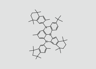 Cc1cc2c3c(c1)N(c1cc4c(cc1C)C(C)(C)CC4(C)C)c1cc4c(cc1B3c1ccc(C(C)(C)C)cc1N2c1cc2c(cc1C)C(C)(C)CCC2(C)C)C(C)(C)CCC4(C)C